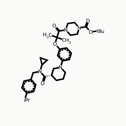 CC(C)c1ccc(CN(C(=O)[C@H]2CCCN(c3cccc(OC(C)(C)C(=O)N4CCN(C(=O)OC(C)(C)C)CC4)c3)C2)C2CC2)cc1